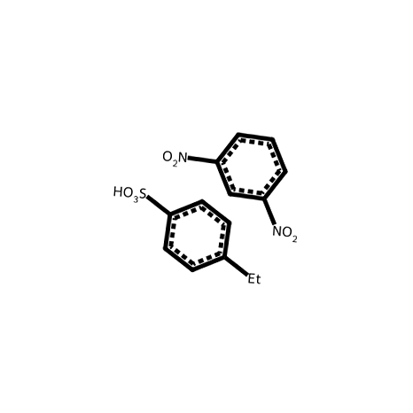 CCc1ccc(S(=O)(=O)O)cc1.O=[N+]([O-])c1cccc([N+](=O)[O-])c1